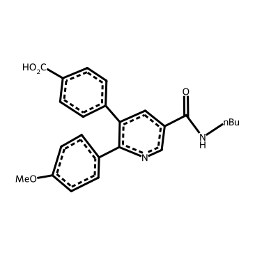 CCCCNC(=O)c1cnc(-c2ccc(OC)cc2)c(-c2ccc(C(=O)O)cc2)c1